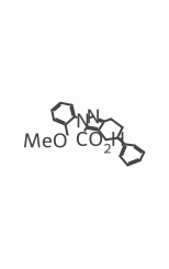 COCc1ccccc1-n1nc2c(c1C(=O)O)CC(c1ccccc1)CC2